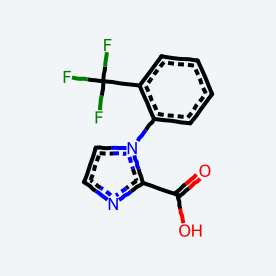 O=C(O)c1nccn1-c1ccccc1C(F)(F)F